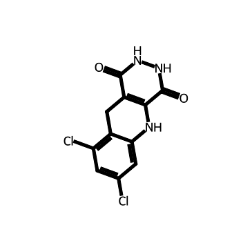 O=c1[nH][nH]c(=O)c2c1Cc1c(Cl)cc(Cl)cc1N2